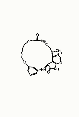 CN1CCNC(=O)CCCCCCOc2cccc(c2)N/C=C2\C(=O)Nc3ncnc1c32